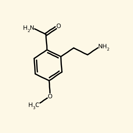 COc1ccc(C(N)=O)c(CCN)c1